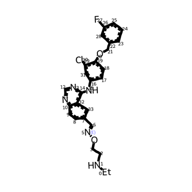 CCNCCO/N=C/c1ccc2ncnc(Nc3ccc(OCc4cccc(F)c4)c(Cl)c3)c2c1